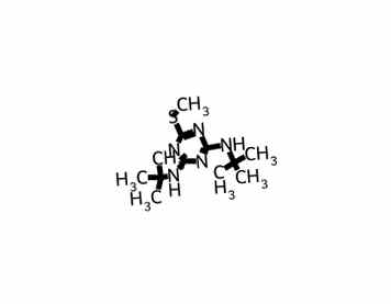 CSc1nc(NC(C)(C)C)nc(NC(C)(C)C)n1